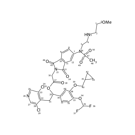 COCCNCCN(c1ccc2c(c1)C(=O)N(CC(=O)OC(Cc1c(Cl)cncc1Cl)c1ccc(OC(F)F)c(OCC3CC3)c1)C2=O)S(C)(=O)=O